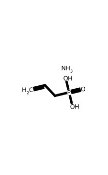 C=CCP(=O)(O)O.N